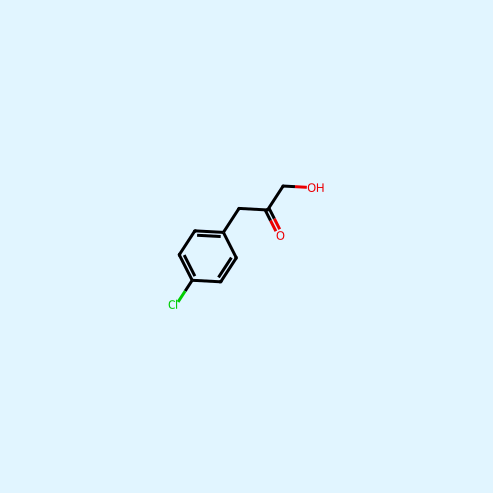 O=C(CO)Cc1ccc(Cl)cc1